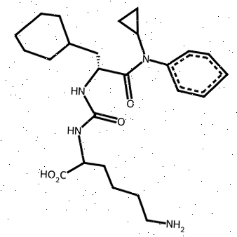 NCCCCC(NC(=O)N[C@H](CC1CCCCC1)C(=O)N(c1ccccc1)C1CC1)C(=O)O